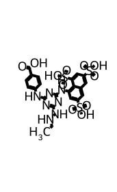 CCNNc1nc(Nc2ccc(C(=O)O)cc2)nc(Nc2cc(S(=O)(=O)O)cc3cc(S(=O)(=O)O)cc(S(=O)(=O)O)c23)n1